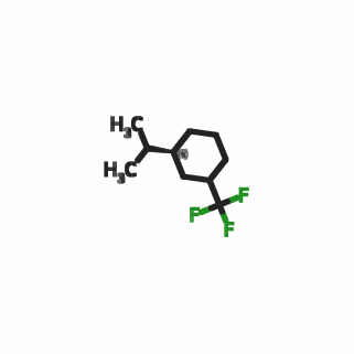 CC(C)[C@H]1CCCC(C(F)(F)F)C1